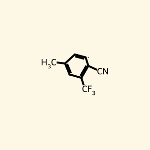 Cc1c[c]c(C#N)c(C(F)(F)F)c1